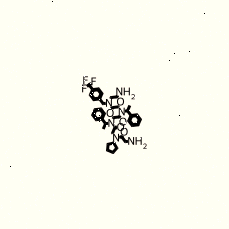 CC(c1ccccc1)N(CC(=O)N(CC(N)=O)Cc1ccc(C(F)(F)F)cc1)C(=O)CN(C(=O)CN(C(=O)CN)C1CCCC1)C(C)c1ccccc1